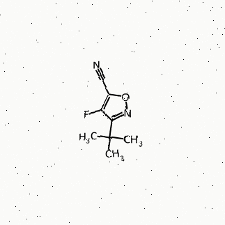 CC(C)(C)c1noc(C#N)c1F